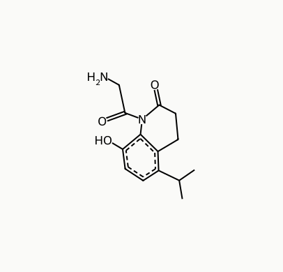 CC(C)c1ccc(O)c2c1CCC(=O)N2C(=O)CN